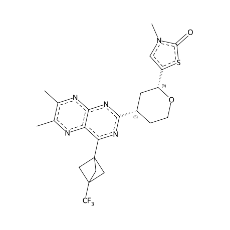 Cc1nc2nc([C@H]3CCO[C@@H](c4cn(C)c(=O)s4)C3)nc(C34CC(C(F)(F)F)(C3)C4)c2nc1C